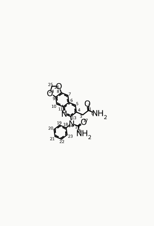 NC(=O)Cc1cc2cc3c(cc2nc1N(C(N)=O)c1ccccc1)OCO3